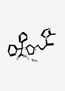 Br.C=C(CC[C@H]1CC[C@H](C(C(N)=O)(c2ccccc2)c2ccccc2)C1)n1ccnc1C